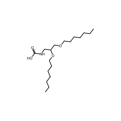 CCCCCCCOCC(CNC(=O)O)OCCCCCCC